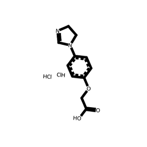 Cl.Cl.O=C(O)COc1ccc(N2C=NCC2)cc1